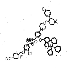 CC1(C)CCC(CN2CCN(c3ccc(C(=O)NS(=O)(=O)c4ccc(OC[C@]5(F)CC[C@@H](C#N)CC5)c(Cl)c4)c(Oc4cccc5c4cnn5C(c4ccccc4)(c4ccccc4)c4ccccc4)c3)CC2)=C(c2ccc(Cl)cc2)C1